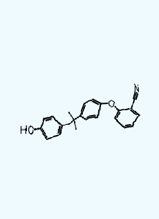 CC(C)(c1ccc(O)cc1)c1ccc(Oc2ccccc2C#N)cc1